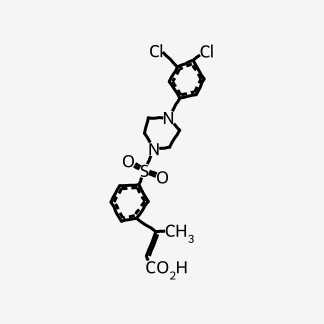 C/C(=C\C(=O)O)c1cccc(S(=O)(=O)N2CCN(c3ccc(Cl)c(Cl)c3)CC2)c1